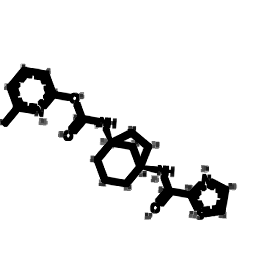 Cc1cccc(OC(=O)N[C@@]23CCC[C@@](NC(=O)c4nccs4)(CC2)C3)n1